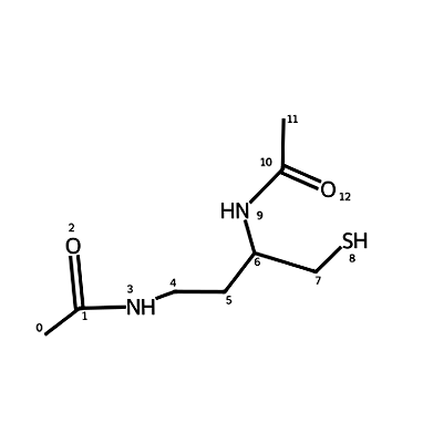 CC(=O)NCCC(CS)NC(C)=O